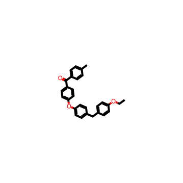 CCOc1ccc(Cc2ccc(Oc3ccc(C(=O)c4ccc(C)cc4)cc3)cc2)cc1